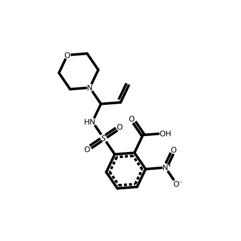 C=CC(NS(=O)(=O)c1cccc([N+](=O)[O-])c1C(=O)O)N1CCOCC1